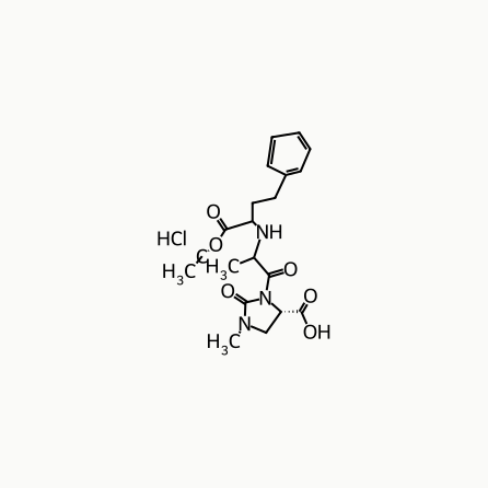 CCOC(=O)C(CCc1ccccc1)NC(C)C(=O)N1C(=O)N(C)C[C@H]1C(=O)O.Cl